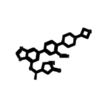 COc1cc(-c2cc(O[C@H](C)C3CNC(=O)C3)c3scnc3c2)ccc1N1CCN(C2COC2)CC1